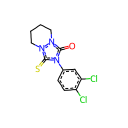 O=c1n(-c2ccc(Cl)c(Cl)c2)c(=S)n2n1CCCC2